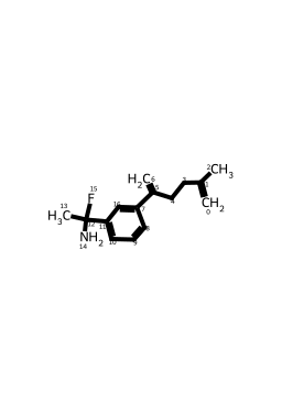 C=C(C)CCC(=C)c1cccc(C(C)(N)F)c1